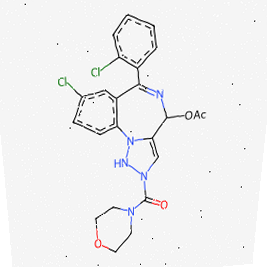 CC(=O)OC1N=C(c2ccccc2Cl)c2cc(Cl)ccc2N2NN(C(=O)N3CCOCC3)C=C12